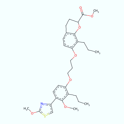 CCCc1c(OCCCOc2ccc(-c3csc(OC)n3)c(OC)c2CCC)ccc2c1OC(C(=O)OC)CC2